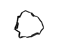 [C]1=C/CC/C=C/CC/C=C/CC/1